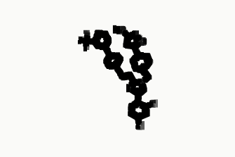 Oc1cc(-c2ccc(Cn3cc(-c4ccc(Cl)cc4Cl)nc3C=Cc3ccc(-c4cccc(C(F)(F)F)c4)cc3)cc2)on1